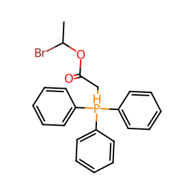 CC(Br)OC(=O)C[PH](c1ccccc1)(c1ccccc1)c1ccccc1